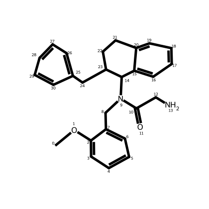 COc1ccccc1CN(C(=O)CN)C1c2ccccc2CCC1Cc1ccccc1